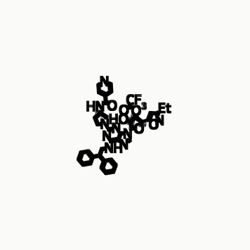 CCc1cc([C@H]2O[C@@H](n3cnc4c(NCC(c5ccccc5)c5ccccc5)nc(N5CC[C@@H](NC(=O)c6ccncc6)C5)nc43)[C@H](O)[C@@H]2OC(=O)C(F)(F)F)on1